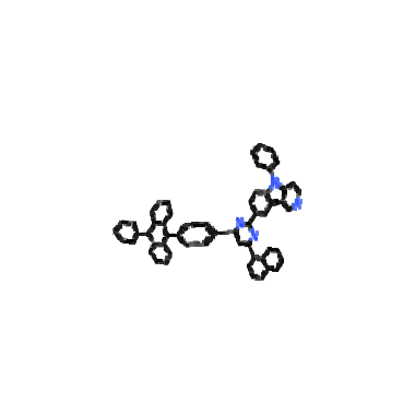 c1ccc(-c2c3ccccc3c(-c3ccc(-c4cc(-c5cccc6ccccc56)nc(-c5ccc6c(c5)c5cnccc5n6-c5ccccc5)n4)cc3)c3ccccc23)cc1